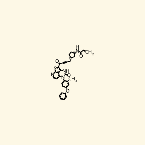 C=CC(=O)N[C@H]1CC[C@H](CC#CC(=O)c2sc3nccc4c3c2NC(=O)N4c2ccc(Oc3ccccc3)cc2C)C1